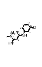 CN(C)C(=N)/C=C(\N)Nc1cccc(Cl)c1